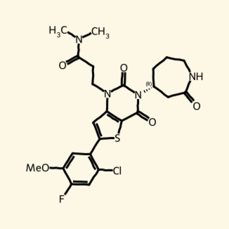 COc1cc(-c2cc3c(s2)c(=O)n([C@@H]2CCCNC(=O)C2)c(=O)n3CCC(=O)N(C)C)c(Cl)cc1F